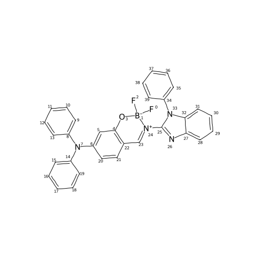 F[B-]1(F)Oc2cc(N(c3ccccc3)c3ccccc3)ccc2C=[N+]1c1nc2ccccc2n1-c1ccccc1